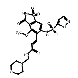 O=C(C=Cc1c(NS(=O)(=O)c2ccno2)cc2c(c1OC(F)(F)F)C(=O)NS2(=O)=O)NCN1CCOCC1